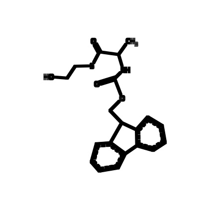 CC(NC(=O)OCC1c2ccccc2-c2ccccc21)C(=O)SCCO